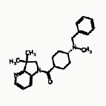 CN(Cc1ccccc1)[C@H]1CC[C@H](C(=O)N2CC(C)(C)c3ncccc32)CC1